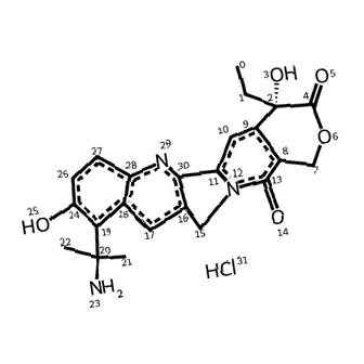 CC[C@@]1(O)C(=O)OCc2c1cc1n(c2=O)Cc2cc3c(C(C)(C)N)c(O)ccc3nc2-1.Cl